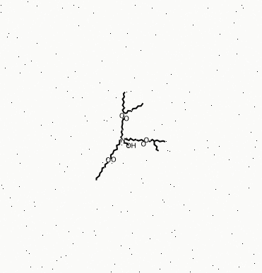 CCCCCCCCCOC(=O)CCCCCCC[N+](CCO)(CCCCCCCC(=O)OCCC(CCCC)CCCC)CCCCCCCC(=O)OC(CCCCCCCC)CCCCCCCC